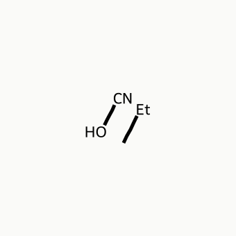 CCC.N#CO